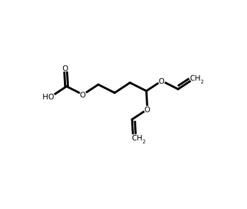 C=COC(CCCOC(=O)O)OC=C